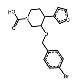 O=C(O)N1CCC(c2ccoc2)C(OCc2ccc(Br)cc2)C1